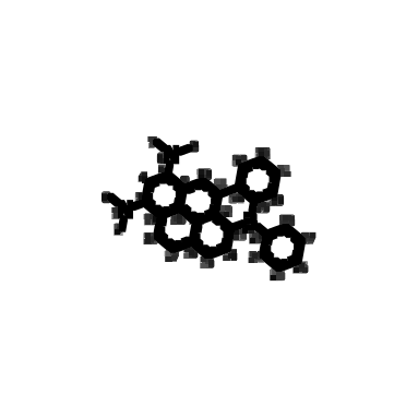 CN(C)c1cc(N(C)C)c2cc3c4c(ccc5ccc1c2c54)B(c1ccccc1)c1ccccc1-3